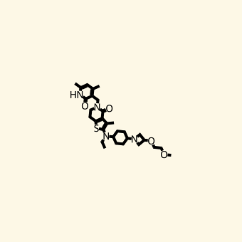 CCN(c1sc2c(c1C)C(=O)N(Cc1c(C)cc(C)[nH]c1=O)CC2)C1CCC(N2CC(OCCOC)C2)CC1